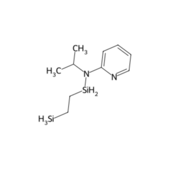 CC(C)N([SiH2]CC[SiH3])c1ccccn1